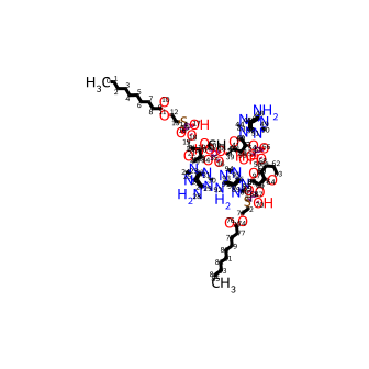 CCCCCCCCCC(=O)OCCSP(=O)(O)OC[C@H]1O[C@@H](n2cnc3c(N)ncnc32)[C@@H](OP(=O)(O)OC[C@H]2O[C@@H](n3cnc4c(N)ncnc43)[C@@H](OP(=O)(O)OC[C@]34CCCOC3[C@H](OP(=O)(O)SCCOC(=O)CCCCCCCCC)[C@H](n3cnc5c(N)ncnc53)O4)C2O)C1OC